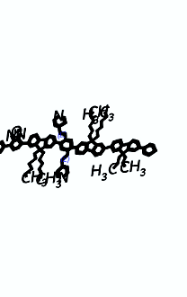 CCCCCCC1(CCCCCC)c2cc(-c3ccc4c(c3)C(CCC)(CCC)c3cc(-c5ccccc5)ccc3-4)ccc2-c2ccc(-c3cc(/C=C/c4ccncc4)c(-c4ccc5c(c4)C(CCCCCC)(CCCCCC)c4cc(-c6ccc(-c7ccccc7)c7nonc67)ccc4-5)cc3/C=C/c3ccncc3)cc21